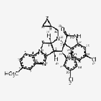 O=C(O)c1ccc2c(c1)nc1n2C[C@H]2[C@@H]1[C@H](c1cc(Cl)cs1)[C@]1(C(=O)Nc3cc(Cl)ccc31)N2CC1CC1